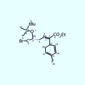 CCOC(=O)/C(=N/C[C@H](CBr)O[Si](C)(C)C(C)(C)C)C1C=CC(F)=CC1